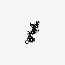 O=C1CCC(N2Cc3cc(C(=O)N4CCc5c(Cl)cccc5C4)ccc3C2=O)C(=O)N1